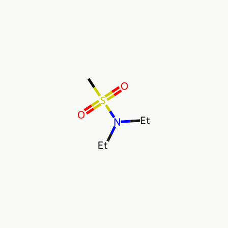 CCN(CC)S(C)(=O)=O